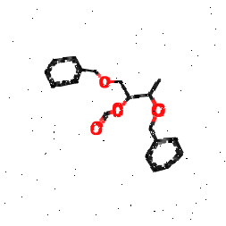 CC(OCc1ccccc1)C(COCc1ccccc1)OC=O